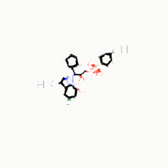 Cc1ccc(S(=O)(=O)OCC(O)C(c2ccccc2)n2cc(C)c3cc(F)ccc32)cc1